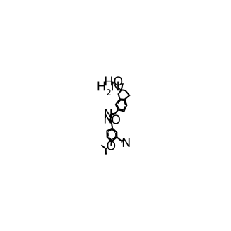 CC(C)Oc1ccc(-c2nnc(-c3ccc4c(c3)C[C@](N)(CO)CC4)o2)cc1C#N